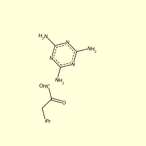 CC(C)CC(=O)C=O.Nc1nc(N)nc(N)n1